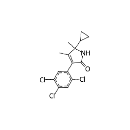 CC1=C(c2cc(Cl)c(Cl)cc2Cl)C(=O)NC1(C)C1CC1